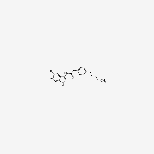 CCCCCc1ccc(CC(=O)Nc2c[nH]c3cc(F)c(F)cc23)cc1